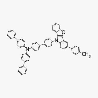 Cc1ccc(-c2ccc3c(c2)c2oc4ccccc4c2n3-c2ccc(-c3ccc(N(c4ccc(-c5ccccc5)cc4)c4ccc(-c5ccccc5)cc4)cc3)cc2)cc1